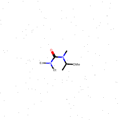 CCN(CC)C(=O)N(C)C(C)OC